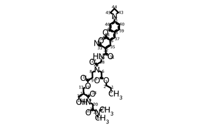 CCCOC(=O)CN(CCC(=O)OCC(CO)C(=O)NCC(=O)N(C)C)C(=O)CNC(=O)/C(C#N)=C/c1cc2ccc(N3CCC3)cc2oc1=O